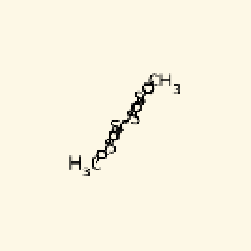 Cc1ccc(-c2cc3cc4sc(/C=C/c5cc6cc7sc(-c8ccc(C)cc8)cc7cc6s5)cc4cc3s2)cc1